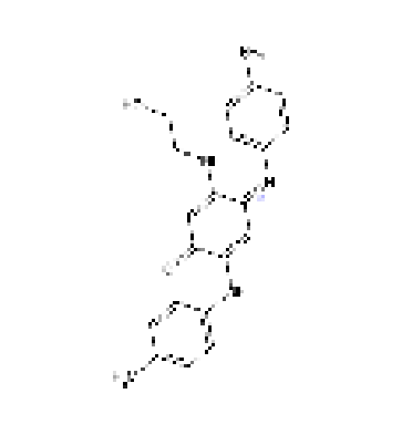 Nc1ccc(/N=C2/C=C(Nc3ccc(N)cc3)C(=O)C=C2NCCO)cc1